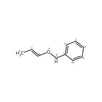 CC=CONc1ccccc1